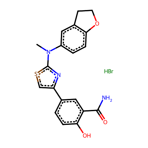 Br.CN(c1ccc2c(c1)CCO2)c1nc(-c2ccc(O)c(C(N)=O)c2)cs1